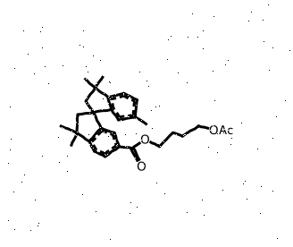 CC(=O)OCCCCOC(=O)c1ccc2c(c1)C1(CC(C)(C)c3ccc(C)cc31)CC2(C)C